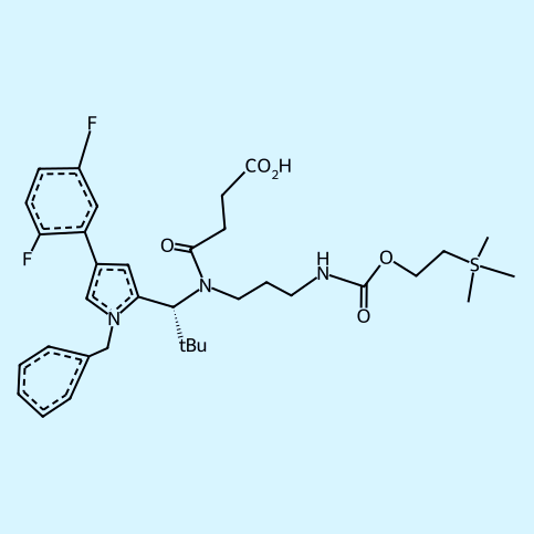 CC(C)(C)[C@H](c1cc(-c2cc(F)ccc2F)cn1Cc1ccccc1)N(CCCNC(=O)OCCS(C)(C)C)C(=O)CCC(=O)O